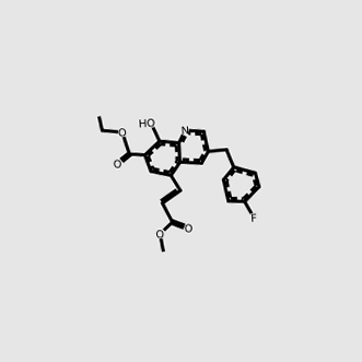 CCOC(=O)c1cc(C=CC(=O)OC)c2cc(Cc3ccc(F)cc3)cnc2c1O